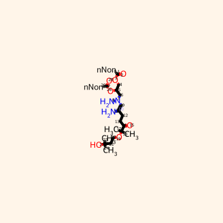 CCCCCCCCCC(=O)OCC(CN(N)/C=C(\N)CCC(=O)C(C)(C)OCCC(C)(C)O)OC(=O)CCCCCCCCC